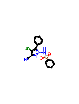 N#Cc1nn(NS(=O)(=O)c2ccccc2)c(-c2ccccc2)c1Br